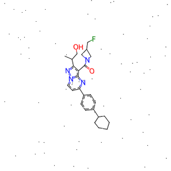 CC(CO)c1nn2ccc(-c3ccc(C4CCCCC4)cc3)nc2c1C(=O)N1CC(CF)C1